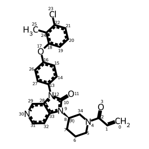 C=CC(=O)N1CCC[C@@H](n2c(=O)n(-c3ccc(Oc4cccc(Cl)c4C)cc3)c3cnccc32)C1